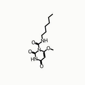 CCCCCCNC(=O)n1c(OC)cc(=O)[nH]c1=O